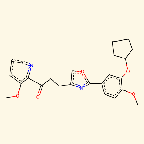 COc1ccc(-c2nc(CCC(=O)c3ncccc3OC)co2)cc1OC1CCCC1